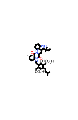 C=CC(C)(C)c1[nH]c2ccccc2c1/C=C1\NC(=O)[C@@]2(C[C@@H](C)C=C[C@H]2/C=C/c2c(CC(=O)O)cc(CC=C(C)C)c(CC(=O)O)c2C=O)NC1=O